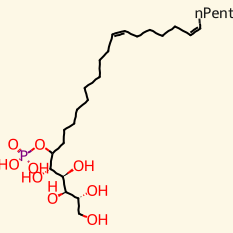 CCCCC/C=C\CCCC/C=C\CCCCCCCCCC(OP(=O)(O)O)[C@@H](O)[C@@H](O)[C@H](O)[C@H](O)CO